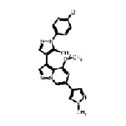 COc1cc(-c2cnn(C)c2)cn2ncc(-c3cnn(-c4ccc(Cl)cc4)c3C)c12